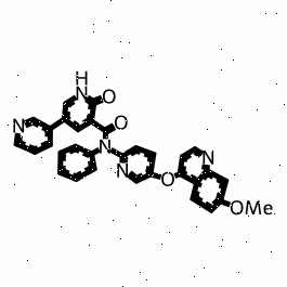 COc1ccc2c(Oc3ccc(N(C(=O)c4cc(-c5cccnc5)c[nH]c4=O)c4ccccc4)nc3)ccnc2c1